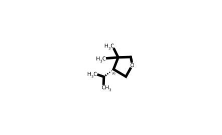 CC(C)[C@H]1COCC1(C)C